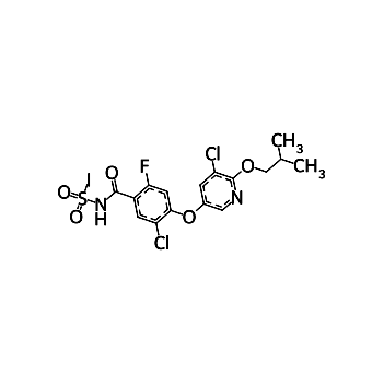 CC(C)COc1ncc(Oc2cc(F)c(C(=O)NS(=O)(=O)I)cc2Cl)cc1Cl